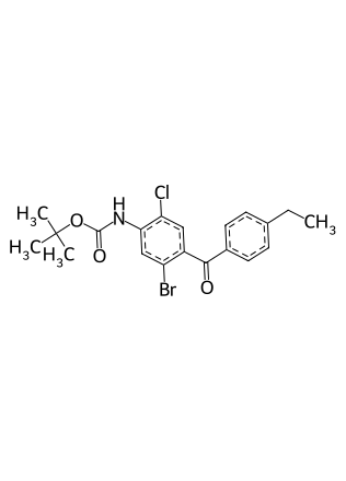 CCc1ccc(C(=O)c2cc(Cl)c(NC(=O)OC(C)(C)C)cc2Br)cc1